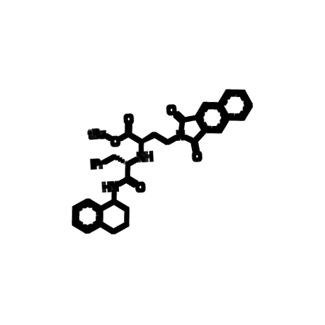 CC(C)C[C@H](N[C@H](CCN1C(=O)c2cc3ccccc3cc2C1=O)C(=O)OC(C)(C)C)C(=O)NC1CCCc2ccccc21